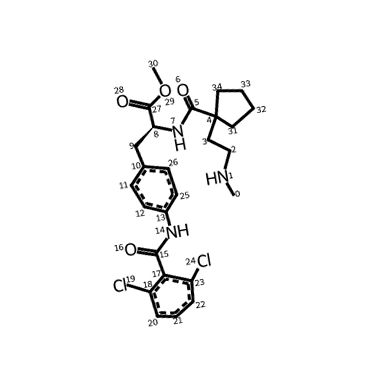 CNCCC1(C(=O)N[C@@H](Cc2ccc(NC(=O)c3c(Cl)cccc3Cl)cc2)C(=O)OC)CCCC1